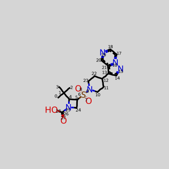 CC(C)(C)C1C(S(=O)(=O)N2CCC(c3cnn4ccncc34)CC2)CN1C(=O)O